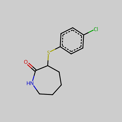 O=C1NCCCCC1Sc1ccc(Cl)cc1